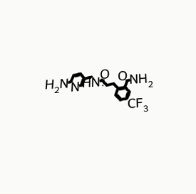 NC(=O)c1cc(C(F)(F)F)ccc1C[CH]C(=O)NCc1ccc(N)nc1